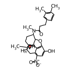 Cc1ccc(CCC(=O)N(C)C2CC[C@@]3(O)[C@H]4Cc5c([N+](=O)[O-])cc(O)c6c5[C@@]3(CCN4C)C2O6)cc1C